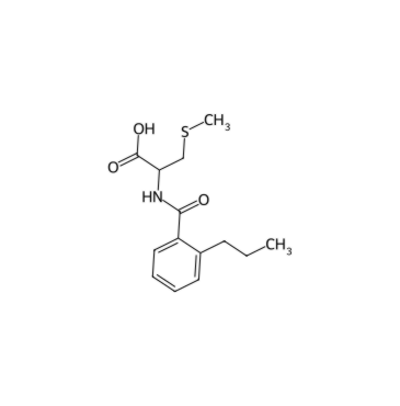 CCCc1ccccc1C(=O)NC(CSC)C(=O)O